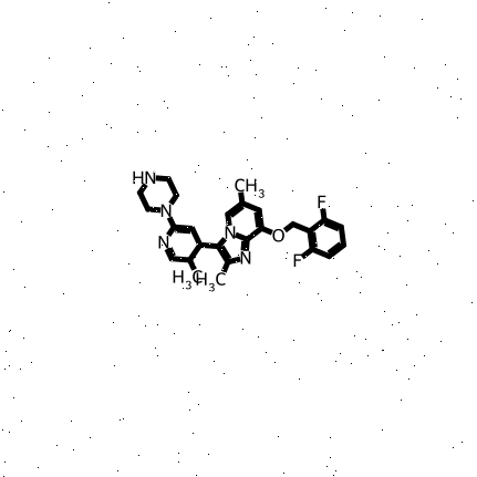 Cc1cc(OCc2c(F)cccc2F)c2nc(C)c(C3C=C(N4CCNCC4)N=CC3C)n2c1